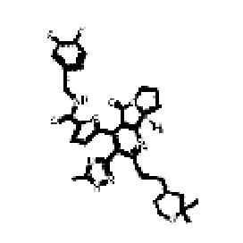 Cc1nnc(-c2c(CCC3CCOC(C)(C)C3)nc3c(c2-c2ccc(C(=O)NCc4ccc(F)c(F)c4)s2)C(=O)N2CCC[C@@H]32)o1